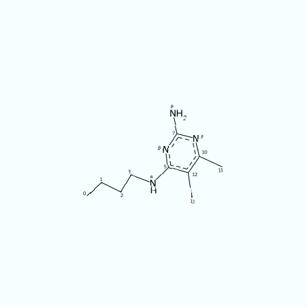 CCCCNc1nc(N)nc(C)c1I